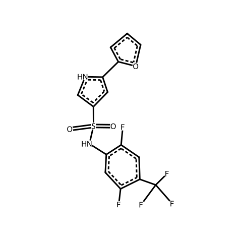 O=S(=O)(Nc1cc(F)c(C(F)(F)F)cc1F)c1c[nH]c(-c2ccco2)c1